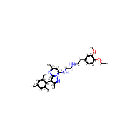 CCOc1ccc(CCNCCNc2cc(C)nc3c(-c4c(C)cc(C)cc4C)c(C)nn23)cc1OC